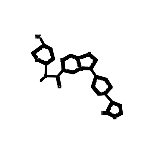 CN(C(=O)c1cn2c(-c3ccc(-c4ccn[nH]4)cc3)cnc2cn1)c1ccc(C#N)cn1